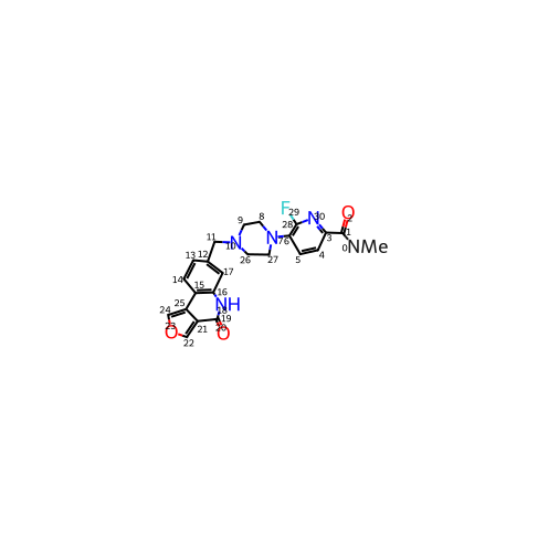 CNC(=O)c1ccc(N2CCN(Cc3ccc4c(c3)[nH]c(=O)c3cocc34)CC2)c(F)n1